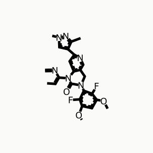 C=N/C(=C\C)N1C(=O)N(c2c(F)c(OC)cc(OC)c2F)Cc2cnc(-c3cn(C)nc3C)cc21